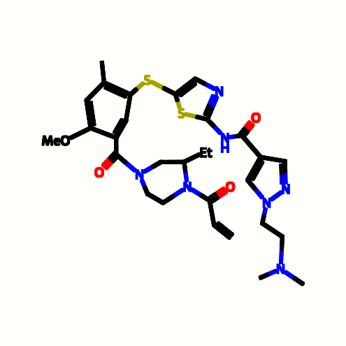 C=CC(=O)N1CCN(C(=O)c2cc(Sc3cnc(NC(=O)c4cnn(CCN(C)C)c4)s3)c(C)cc2OC)CC1CC